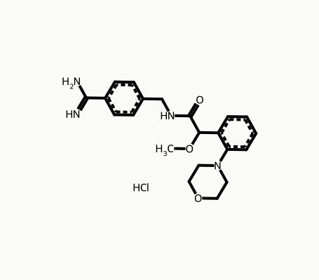 COC(C(=O)NCc1ccc(C(=N)N)cc1)c1ccccc1N1CCOCC1.Cl